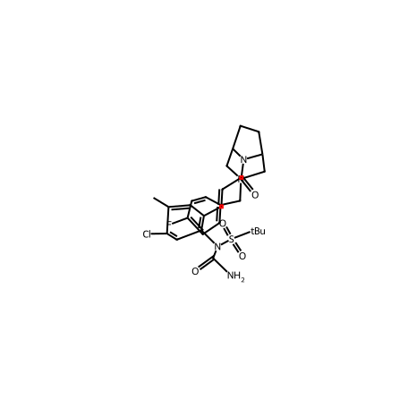 Cc1cc(C=CC(=O)N2C3CCC2CN(Cc2ccc(F)cc2)C3)c(N(C(N)=O)S(=O)(=O)C(C)(C)C)cc1Cl